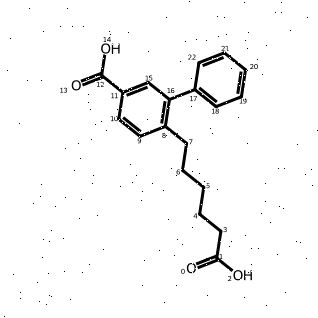 O=C(O)CCCCCc1ccc(C(=O)O)cc1-c1ccccc1